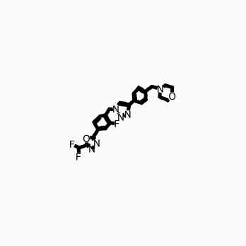 Fc1cc(-c2nnc(C(F)F)o2)ccc1Cn1cc(-c2ccc(CN3CCOCC3)cc2)nn1